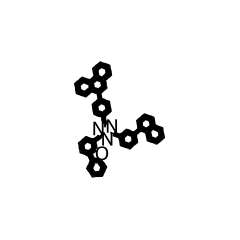 c1cc(-c2nc(-c3ccc(-c4cc5ccccc5c5ccccc45)cc3)nc(-c3cccc4c3oc3ccccc34)n2)cc(-c2cccc3ccccc23)c1